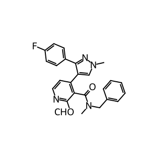 CN(Cc1ccccc1)C(=O)c1c(-c2cn(C)nc2-c2ccc(F)cc2)ccnc1C=O